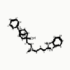 CN(CCCc1nc2ccccc2[nH]1)CCC1(O)CC2CCC1C=C2c1ccccc1